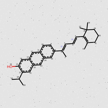 CC1=C(/C=C/C=C(\C)c2ccc3cc4cc(O)c(C(C)C)cc4cc3c2)C(C)(C)CCC1